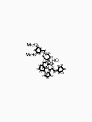 COc1cc(CN2CCC(C=O)(N(Cc3cccc(-n4cccc4)c3)C(=O)NC/C=C/c3ccccc3)CC2)cc(OC)c1